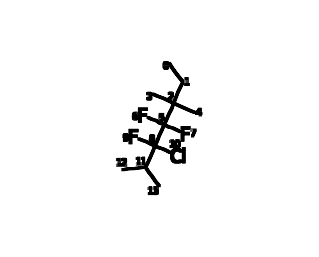 CCC(C)(C)C(F)(F)C(F)(Cl)C(C)C